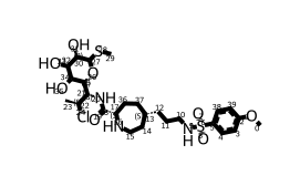 COc1ccc(S(=O)(=O)NCCC[C@@H]2CCN[C@H](C(=O)N[C@H]([C@H](C)Cl)[C@H]3OC(SC)[C@H](O)C(O)C3O)CC2)cc1